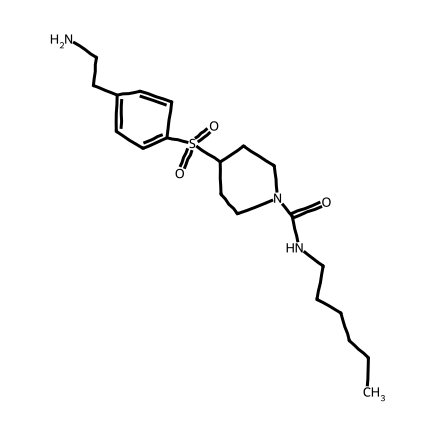 CCCCCCNC(=O)N1CCC(S(=O)(=O)c2ccc(CCN)cc2)CC1